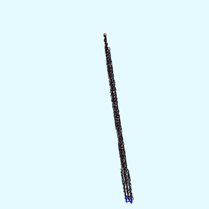 C#CC#CC#CC#CC#CC#CC#CC#CC#CC#CC#CC#CC#CC#CC#CC#CC#CC#CC#CC#CC#CC#CC#CC#CC#CC#CC#CC#CC#CC#CC#CC#CC#CC#CC#CC#CC#CC#CC#CC#CC#CC#CC#CC#CC#CC#CC#CC#CC#CC#CC#CC#CC#CC#CC#CC#CC#CC#CC#CC#CC#N